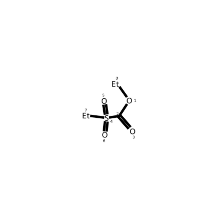 CCOC(=O)S(=O)(=O)CC